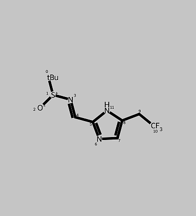 CC(C)(C)[S+]([O-])N=Cc1ncc(CC(F)(F)F)[nH]1